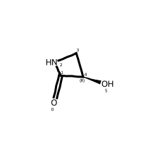 O=C1NC[C@H]1O